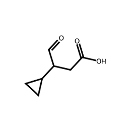 O=CC(CC(=O)O)C1CC1